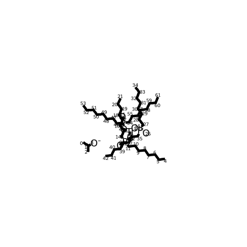 CC(C)[O-].CCCCCCCCP(=O)(CCCCCCCC)[O][Ti+]([O]P(=O)(CCCCCCCC)CCCCCCCC)[O]P(=O)(CCCCCCCC)CCCCCCCC